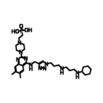 Cc1cc2nc(N3CCN(CCP(=O)(O)O)CC3)nc(NCc3cn(CCCNCCCNC4CCCCC4)nn3)c2cc1C